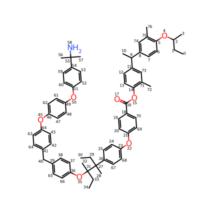 CCC(C)Oc1ccc(C(C)c2ccc(OC(=O)c3ccc(Oc4ccc(C(C)(CC)C(C)(CC)Oc5ccc(Cc6ccc(Oc7ccc(Oc8ccc(C(C)(C)N)cc8)cc7)cc6)cc5)cc4)cc3)c(C)c2)cc1C